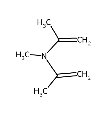 C=C(C)N(C)C(=C)C